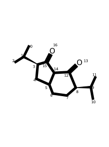 CC(C)[C@@H]1CC2CC[C@H](C(C)C)C(=O)C2C1=O